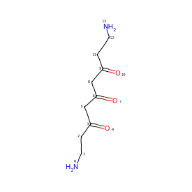 NCCC(=O)CC(=O)CC(=O)CCN